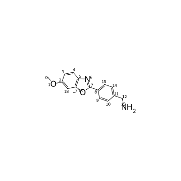 COc1ccc2nc(-c3ccc(CN)cc3)oc2c1